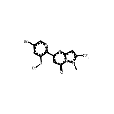 CCSc1cc(Br)cnc1-c1cc(=O)n2c(cc(C(F)(F)F)n2C)n1